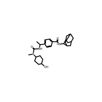 CC(NC(=O)N(C)C1CCC(O)CC1)c1ccc(C(=O)NC2C3CC4CC(C3)CC2C4)cc1